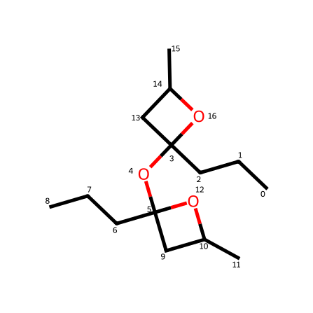 CCCC1(OC2(CCC)CC(C)O2)CC(C)O1